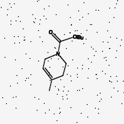 CC1=CCN(C(=O)OCC(C)C)CC1